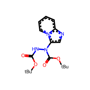 CC(C)(C)OC(=O)NN(C(=O)OC(C)(C)C)c1cnc2ccccn12